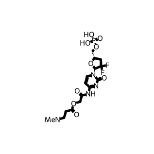 CNCCC(=O)OCC(=O)Nc1ccn([C@@H]2O[C@H](COP(=O)(O)O)CC2(F)F)c(=O)n1